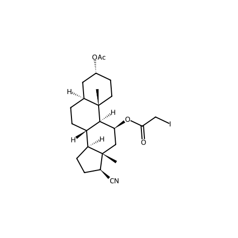 CC(=O)O[C@@H]1CC[C@@]2(C)[C@@H](CC[C@@H]3[C@@H]2[C@@H](OC(=O)CI)C[C@]2(C)[C@@H](C#N)CC[C@@H]32)C1